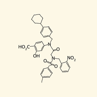 Cc1ccc(S(=O)(=O)N(CC(=O)N(Cc2ccc(C3CCCCC3)cc2)c2ccc(C(=O)O)c(O)c2)Cc2ccccc2[N+](=O)[O-])cc1